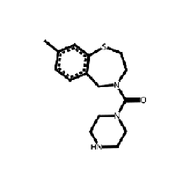 Cc1ccc2c(c1)SCCN(C(=O)N1CCNCC1)C2